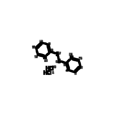 Cl.Cl.c1ccc(SSc2ccccn2)nc1